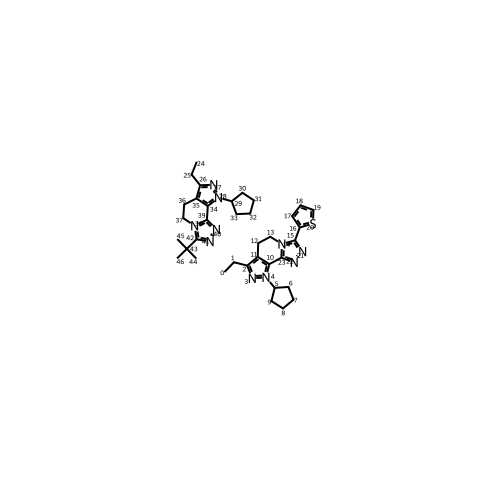 CCc1nn(C2CCCC2)c2c1CCn1c(-c3cccs3)nnc1-2.CCc1nn(C2CCCC2)c2c1CCn1c-2nnc1C(C)(C)C